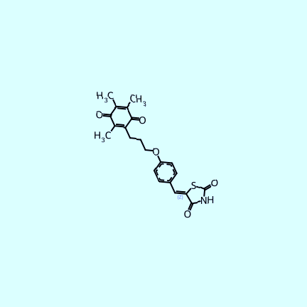 CC1=C(C)C(=O)C(CCCOc2ccc(/C=C3\SC(=O)NC3=O)cc2)=C(C)C1=O